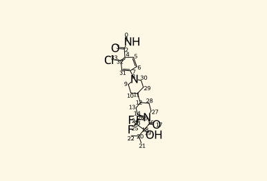 CNC(=O)c1ccc(N2CCC(C3CCN(C(=O)C(O)(C(C)C)C(F)(F)F)CC3)CC2)cc1Cl